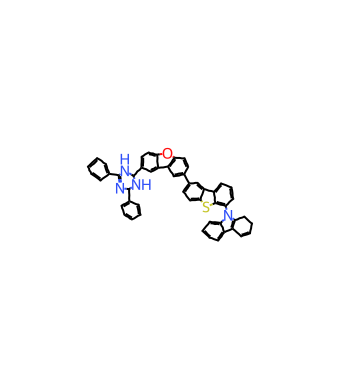 C1=Cc2c(n(-c3cccc4c3sc3ccc(-c5ccc6oc7ccc(C8NC(c9ccccc9)=NC(c9ccccc9)N8)cc7c6c5)cc34)c3ccccc23)CC1